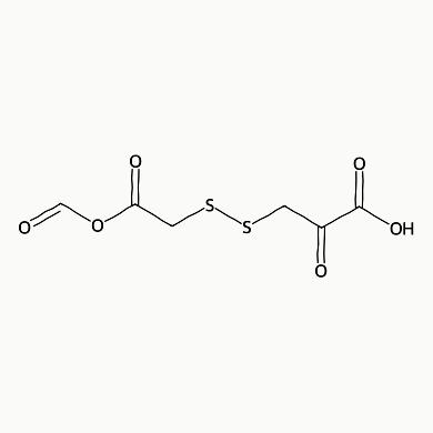 O=COC(=O)CSSCC(=O)C(=O)O